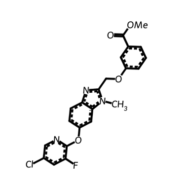 COC(=O)c1cccc(OCc2nc3ccc(Oc4ncc(Cl)cc4F)cc3n2C)c1